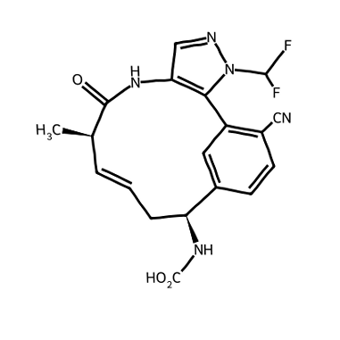 C[C@@H]1/C=C/C[C@H](NC(=O)O)c2ccc(C#N)c(c2)-c2c(cnn2C(F)F)NC1=O